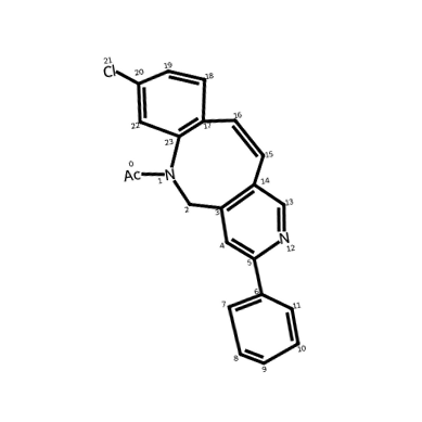 CC(=O)N1Cc2cc(-c3ccccc3)ncc2/C=C\c2ccc(Cl)cc21